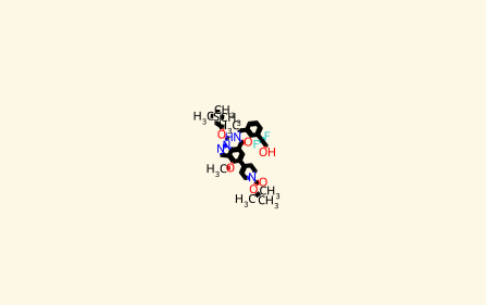 COc1c(C2=CCN(C(=O)OC(C)(C)C)CC2)cc(C(=O)NC(C)c2cccc(C(F)(F)CO)c2)c2c1cnn2COCC[Si](C)(C)C